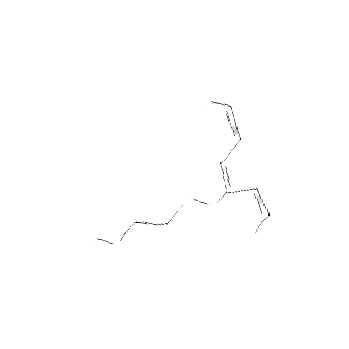 C\C=C/C=C(\C=C/C)OOCCPC